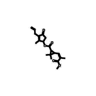 C=CCC1=C(C)C(OC(=O)C2C(C=C(C)C(=O)OC)C2(C)C)CC1=O